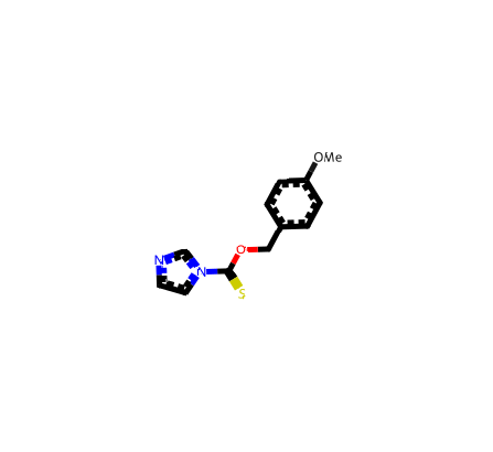 COc1ccc(COC(=S)n2ccnc2)cc1